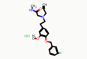 C#CCN(CCc1ccc(OCc2cccc(F)c2)c(OC)c1)CC(=O)NC.Cl